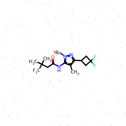 Cc1c(C2CC(F)(F)C2)nn(C(C)(C)C)c1NC(=O)CC(C)(C)C(F)(F)F